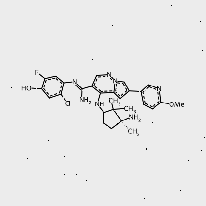 COc1ccc(-c2cc3c(NC4CC[C@](C)(N)C4(C)C)c(/C(N)=N/c4cc(F)c(O)cc4Cl)cnn3c2)cn1